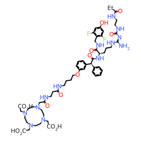 CCC(=O)NCCNC(=O)/N=C(/N)NCCC[C@@H](NC(=O)[C@@H](c1ccccc1)c1cccc(OCCCCNC(=O)CCNC(=O)CN2CCN(CC(=O)O)CCN(CC(=O)O)CCN(CC(=O)O)CC2)c1)C(=O)NCc1c(F)cc(O)cc1F